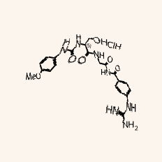 COc1ccc(NC(=O)N[C@@H](CO)C(=O)NCC(=O)NC(=O)c2ccc(NC(=N)N)cc2)cc1.Cl